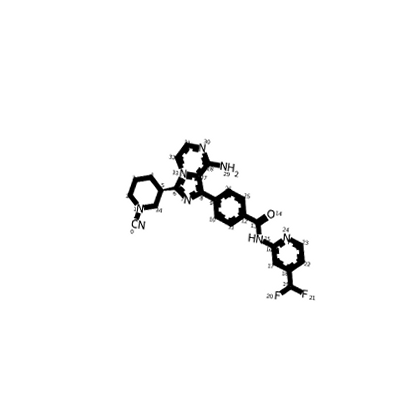 N#CN1CCC[C@@H](c2nc(-c3ccc(C(=O)Nc4cc(C(F)F)ccn4)cc3)c3c(N)nccn23)C1